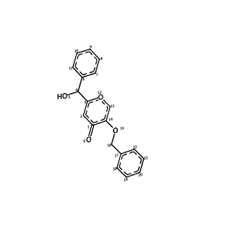 O=c1cc(C(O)c2ccccc2)occ1OCc1ccccc1